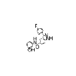 O=C(Nc1cccc(O)c1)c1ccc2[nH]nc(-c3ccc(F)cc3)c2c1